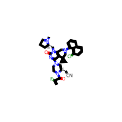 C=C(F)C(=O)N1CCN(c2nc(=O)n(C[C@@H]3CCCN3C)c3c2C2(CC2)CN(c2cccc4cccc(Cl)c24)C3)C[C@@H]1CC#N